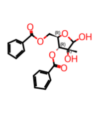 C[C@]1(O)C(O)O[C@H](COC(=O)c2ccccc2)[C@H]1OC(=O)c1ccccc1